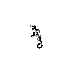 CC(F)(F)c1cn2c(-c3cn[nH]c3)cnc2c(Nc2cc(CN3CCCCCC3)ns2)n1